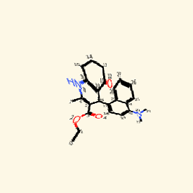 CCOC(=O)C1=C(C)NC2=C(C(=O)CCC2)C1c1ccc(N(C)C)c2ccccc12